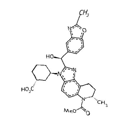 COC(=O)N1c2ccc3c(nc([C@@H](O)c4ccc5oc(C)nc5c4)n3[C@@H]3CCC[C@@H](C(=O)O)C3)c2CC[C@@H]1C